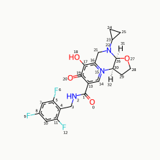 O=C(NCc1c(F)cc(F)cc1F)c1cn2c(c(O)c1=O)CN(C1CC1)[C@H]1OCC[C@H]12